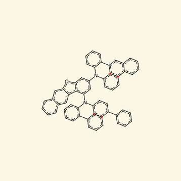 c1ccc(-c2ccc(N(c3ccccc3-c3ccccc3)c3cc(N(c4ccccc4)c4ccccc4-c4ccc5ccccc5c4)cc4oc5cc6ccccc6cc5c34)cc2)cc1